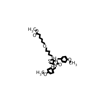 COC(=O)CCCCCOCCCCC[C@@H]1SC[C@H]2[C@@H]1N(Cc1ccc(OC)cc1)C(=O)N2Cc1ccc(OC)cc1